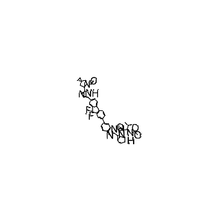 COC(=O)NC(C(=O)N1C2CCC(C2)C1c1nc2ccc(-c3ccc4c(c3)C(F)(F)c3cc(-c5cnc(C6CC7(CC7)CN6C=O)[nH]5)ccc3-4)cc2[nH]1)C(C)C